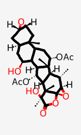 CC(=O)O[C@H]1[C@@H]2[C@H]([C@H](C)[C@H]3O[C@]34OC(=O)[C@@](C)(O)[C@]24C)[C@@]2(C)[C@@H](OC(C)=O)CC3C([C@H]12)[C@@H](O)C[C@H]1C[C@@H]2O[C@@H]2C[C@]31C